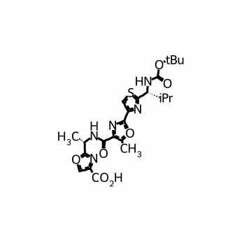 Cc1oc(-c2csc([C@H](NC(=O)OC(C)(C)C)C(C)C)n2)nc1C(=O)N[C@@H](C)c1nc(C(=O)O)co1